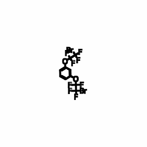 FC(F)(Br)C(F)(F)Oc1cccc(OC(F)(F)C(F)(F)Br)c1